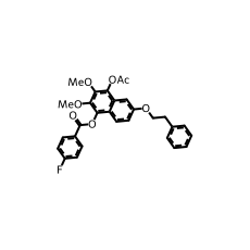 COc1c(OC)c(OC(=O)c2ccc(F)cc2)c2ccc(OCCc3ccccc3)cc2c1OC(C)=O